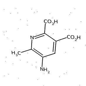 Cc1nc(C(=O)O)c(C(=O)O)cc1N